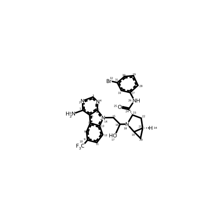 Nc1ncnc2c1c1cc(C(F)(F)F)ccc1n2CC(O)N1C2C[C@@H]2C[C@H]1C(=O)Nc1cccc(Br)c1